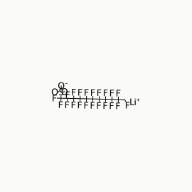 O=S(=O)([O-])C(F)(F)C(F)(F)C(F)(F)C(F)(F)C(F)(F)C(F)(F)C(F)(F)C(F)(F)C(F)(F)C(F)(F)CF.[Li+]